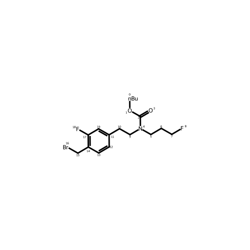 CCCCOC(=O)N(CCCF)CCc1ccc(CBr)c(F)c1